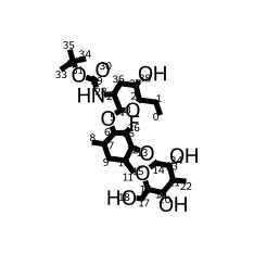 CCC1OC(OC2C(C)CC(C)C(OC3OC(CO)C(O)C(C)C3O)C2F)C(NC(=O)OC(C)(C)C)CC1O